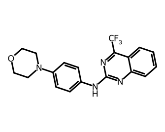 FC(F)(F)c1nc(Nc2ccc(N3CCOCC3)cc2)nc2ccccc12